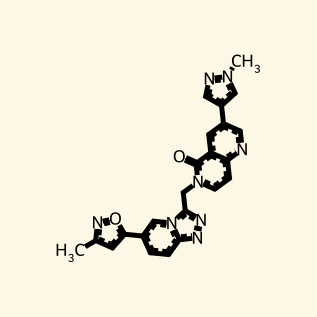 Cc1cc(-c2ccc3nnc(Cn4ccc5ncc(-c6cnn(C)c6)cc5c4=O)n3c2)on1